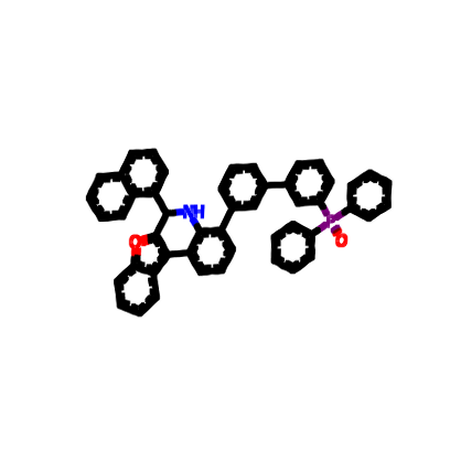 O=P(c1ccccc1)(c1ccccc1)c1cccc(-c2cccc(-c3cccc4c3NC(c3cccc5ccccc35)c3oc5ccccc5c3-4)c2)c1